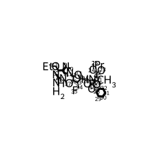 CCOc1nc(N)nc2c1ncn2[C@@H]1O[C@H](COP(=O)(N[C@H](C)C(=O)OC(C)C)Oc2ccccc2)[C@@H](CF)[C@H]1O